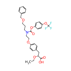 CCOC(Cc1ccc(OCCN(CCCOCc2ccccc2)C(=O)Oc2ccc(OC(F)(F)F)cc2)cc1)C(=O)O